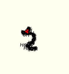 Cc1nccn1-c1ccc([C@H](C)NC(=O)[C@@H]2C[C@@H](O)CN2C(=O)[C@@H](c2cc(N3CCN(CC4CCN(CC5CC(Oc6cc(N7C8CC[C@@H]7CN(c7cc(-c9ccccc9O)nnc7N)C8)ccn6)C5)CC4)CC3)no2)C(C)C)cc1